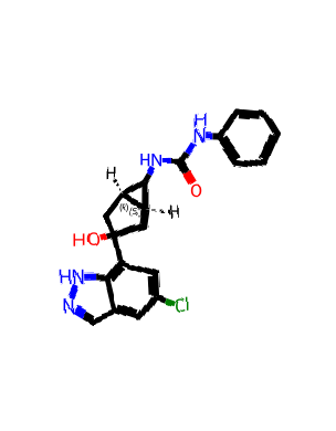 O=C(Nc1ccccc1)NC1[C@H]2CC(O)(c3cc(Cl)cc4cn[nH]c34)C[C@@H]12